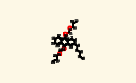 CCCCCc1ccc2c(OCOCCC)c3ccccc3c(OCOCCC)c2c1